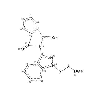 COCCn1nc(N2C(=O)c3ccccc3C2=O)c2ccccc21